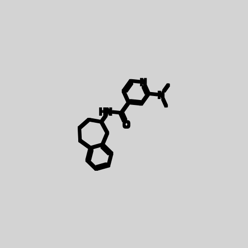 CN(C)c1cc(C(=O)NC2CCCc3ccccc3C2)ccn1